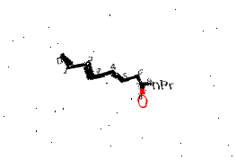 C=CC=CC=CCC(=O)CCC